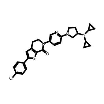 O=C1c2sc(-c3ccc(Cl)cc3)cc2CCN1c1ccc(N2CCC(N(C3CC3)C3CC3)C2)nc1